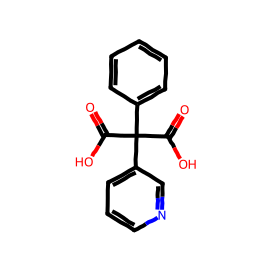 O=C(O)C(C(=O)O)(c1ccccc1)c1cccnc1